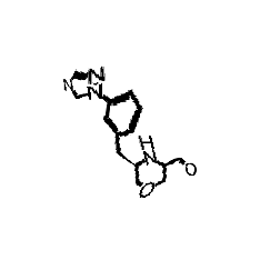 O=CC1COC[C@@H](Cc2cccc(-n3cncn3)c2)N1